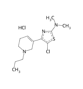 CCCN1CCC=C(c2nc(N(C)C)sc2Cl)C1.Cl